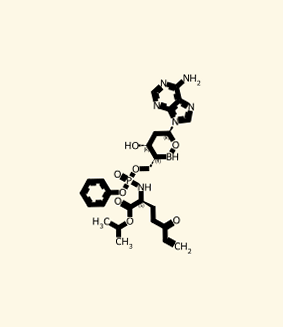 C=CC(=O)CC[C@H](NP(=O)(OC[C@H]1BO[C@@H](n2cnc3c(N)ncnc32)C[C@H]1O)Oc1ccccc1)C(=O)OC(C)C